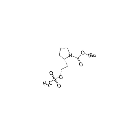 CC(C)(C)OC(=O)N1CCC[C@H]1CCOS(C)(=O)=O